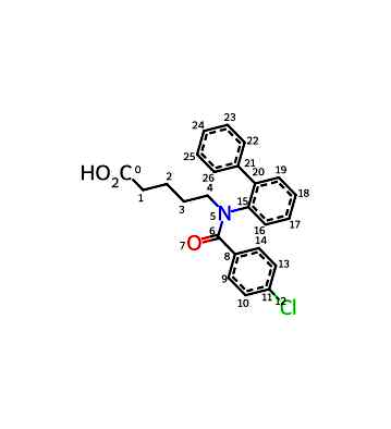 O=C(O)CCCCN(C(=O)c1ccc(Cl)cc1)c1ccccc1-c1ccccc1